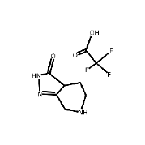 O=C(O)C(F)(F)F.O=C1NN=C2CNCCC12